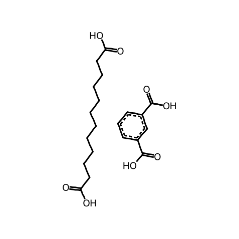 O=C(O)CCCCCCCCCCC(=O)O.O=C(O)c1cccc(C(=O)O)c1